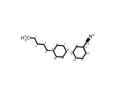 CCCCC[C@H]1CC[C@H](C2CCCC(C#N)C2)CC1